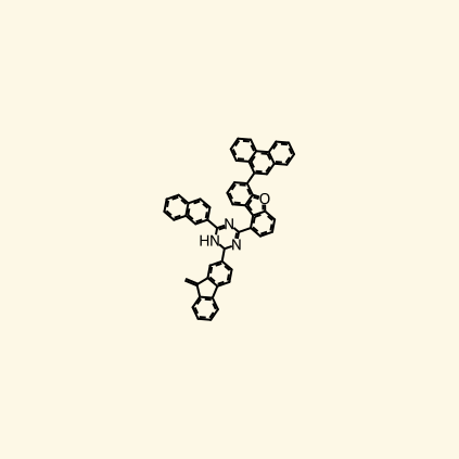 C=C1c2ccccc2-c2ccc(C3N=C(c4cccc5oc6c(-c7cc8ccccc8c8ccccc78)cccc6c45)N=C(c4ccc5ccccc5c4)N3)cc21